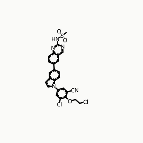 CS(=O)(=O)Nc1ncc2cc(-c3ccc4c(ccn4-c4cc(Cl)c(OCCCl)c(C#N)c4)c3)ccc2n1